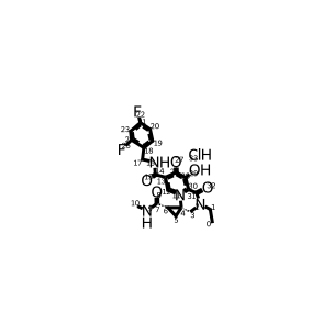 CCN1C[C@@]2(C[C@@H]2C(=O)NC)n2cc(C(=O)NCc3ccc(F)cc3F)c(=O)c(O)c2C1=O.Cl